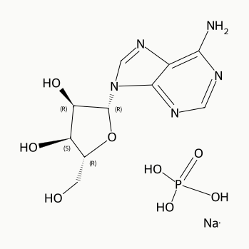 Nc1ncnc2c1ncn2[C@@H]1O[C@H](CO)[C@@H](O)[C@H]1O.O=P(O)(O)O.[Na]